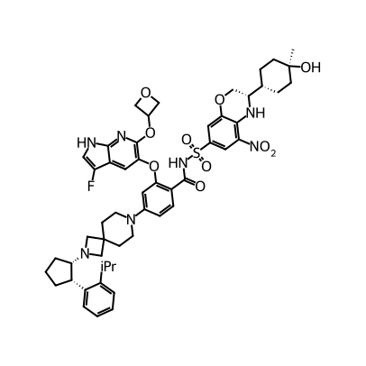 CC(C)c1ccccc1[C@@H]1CCC[C@@H]1N1CC2(CCN(c3ccc(C(=O)NS(=O)(=O)c4cc5c(c([N+](=O)[O-])c4)N[C@@H]([C@H]4CC[C@](C)(O)CC4)CO5)c(Oc4cc5c(F)c[nH]c5nc4OC4COC4)c3)CC2)C1